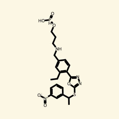 CCc1cc(CNCCCO[PH](=O)O)ccc1-c1nnc(SC(C)c2cccc([N+](=O)[O-])c2)o1